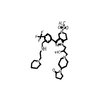 CS(=O)(=O)N1CCc2c(c(-c3ccc(C(F)(F)F)c(CNCCN4CCCCC4)c3)nn2CC(O)CN2CCC(N3CCCC3=O)CC2)C1